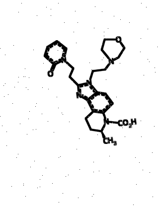 C[C@H]1CCc2c(ccc3c2nc(CCn2ccccc2=O)n3CCN2CCOCC2)N1C(=O)O